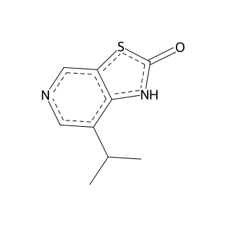 CC(C)c1cncc2sc(=O)[nH]c12